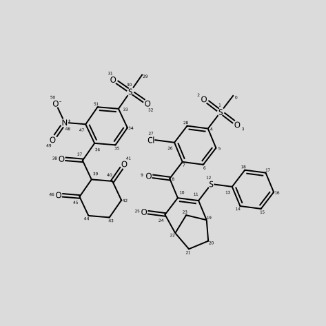 CS(=O)(=O)c1ccc(C(=O)C2=C(Sc3ccccc3)C3CCC(C3)C2=O)c(Cl)c1.CS(=O)(=O)c1ccc(C(=O)C2C(=O)CCCC2=O)c([N+](=O)[O-])c1